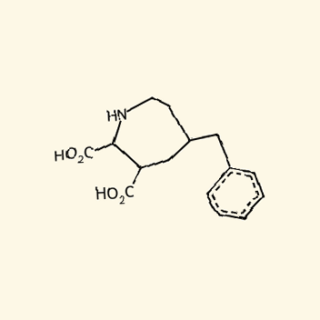 O=C(O)C1CC(Cc2ccccc2)CCNC1C(=O)O